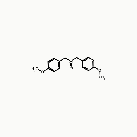 COc1ccc(C[Se](=[Se])Cc2ccc(OC)cc2)cc1